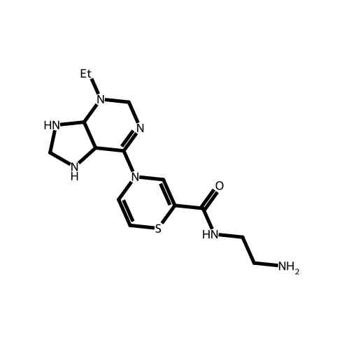 CCN1CN=C(N2C=CSC(C(=O)NCCN)=C2)C2NCNC21